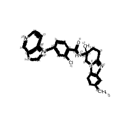 Cc1ccc2c(c1)nc1n2C[C@](C)(NC(=O)c2ccc(-n3cnc4cnccc43)cc2Cl)CC1